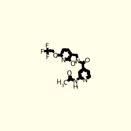 CC(=O)Nc1cc(C(=O)N2Cc3ccc(OCC(F)(F)F)nc3O2)ccn1